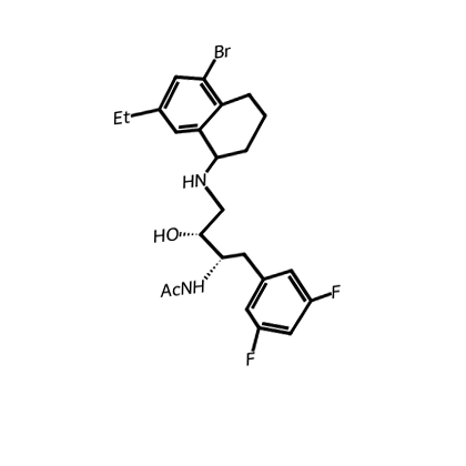 CCc1cc(Br)c2c(c1)C(NC[C@@H](O)[C@H](Cc1cc(F)cc(F)c1)NC(C)=O)CCC2